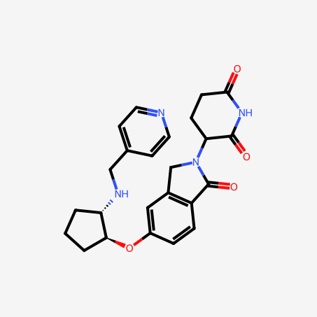 O=C1CCC(N2Cc3cc(O[C@H]4CCC[C@@H]4NCc4ccncc4)ccc3C2=O)C(=O)N1